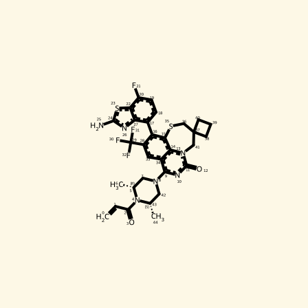 C=CC(=O)N1[C@H](C)CN(c2nc(=O)n3c4c(c(-c5ccc(F)c6sc(N)nc56)c(C(F)(F)F)cc24)SCC2(CCC2)C3)C[C@@H]1C